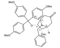 COc1ccc(C(O[C@H]2[C@@H](OC(C)=O)[C@@H]3CC(=O)C[C@H]2N3Cc2ccccc2)(c2ccc(OC)cc2)c2ccc(OC)cc2)cc1